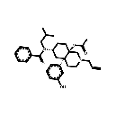 C=CCN1CC[C@@]2(c3cccc(O)c3)C[C@H](N(CC(C)C)C(=O)c3ccccc3)CC[C@]2(OC(C)=O)C1